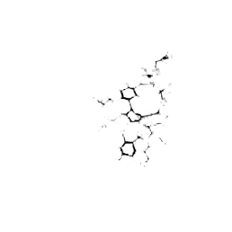 Cc1ccc(C(=O)N(CCCN)[C@@H](CCO)C(=O)N(C)[C@@H]2C(=O)N[C@@H](C)C(=O)N[C@H](C(=O)NCC#N)Cc3ccc(OCCN)c(c3)-c3cc2ccc3OCCN)c(C)c1